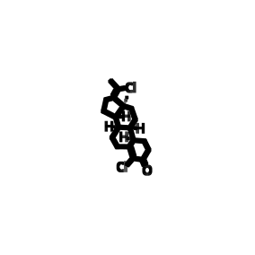 C/C(Cl)=C1\CC[C@H]2[C@@H]3CCC4=C(Cl)C(=O)CC[C@@H]4[C@H]3CC[C@]12C